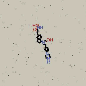 O=C(C=Cc1ccc2c(c1)CCC2N(CCO)CCc1ccc(N2CCNCC2)cc1)NO